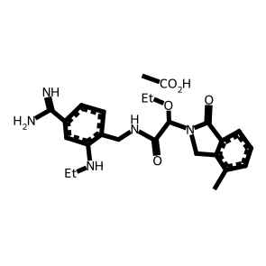 CC(=O)O.CCNc1cc(C(=N)N)ccc1CNC(=O)C(OCC)N1Cc2c(C)cccc2C1=O